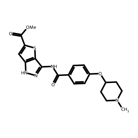 COC(=O)c1cc2[nH]nc(NC(=O)c3ccc(OC4CCN(C)CC4)cc3)c2s1